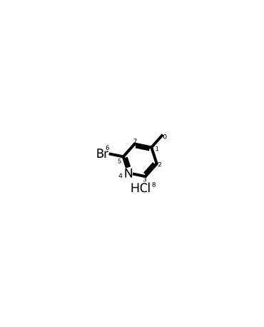 Cc1ccnc(Br)c1.Cl